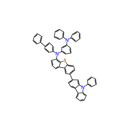 c1ccc(-c2ccc(N(c3cccc(N(c4ccccc4)c4ccccc4)c3)c3cccc4c3sc3ccc(-c5ccc6c7ccccc7n(-c7ccccc7)c6c5)cc34)cc2)cc1